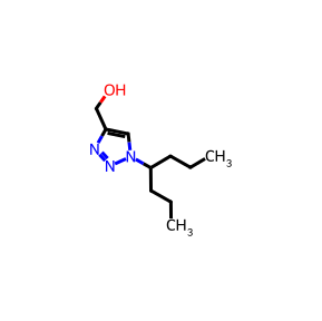 CCCC(CCC)n1cc(CO)nn1